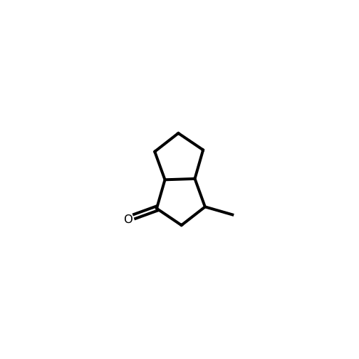 CC1CC(=O)C2CCCC12